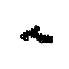 COc1ccc(CNc2ncc(CN3CCN(c4ccccc4Cl)CC3)c3nc(-c4ccco4)nn23)cc1OC